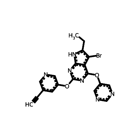 C#Cc1cncc(Oc2nc(Oc3cncnc3)c3c(Br)c(CC)[nH]c3n2)c1